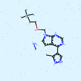 CN.Cc1n[nH]cc1-c1ncnc2c1ccn2COCC[Si](C)(C)C